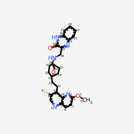 COc1ccc2ncc(F)c(CCC34CCC(NCc5nc6ccccc6[nH]c5=O)(CC3)CO4)c2n1